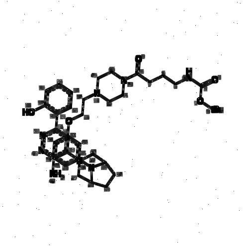 CC(C)(C)OC(=O)NCCCC(=O)N1CCN(CCOc2cccc(N3C4CCC3CN(c3cc(-c5ccccc5O)nnc3N)C4)c2)CC1